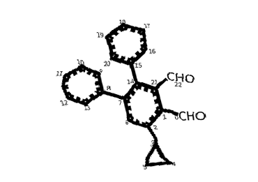 O=Cc1c(C2CC2)cc(-c2ccccc2)c(-c2ccccc2)c1C=O